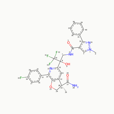 Cn1cc(C(=O)NCC(O)(c2cc3c(c(-c4ccc(F)cc4)n2)OC[C@]3(C)C(N)=O)C(F)(F)F)c(-c2ccccc2)n1